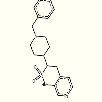 O=S1(=O)Nc2cnccc2CC1C1CCN(Cc2ccccc2)CC1